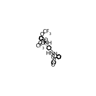 O=S(=O)(NC[C@H]1CC[C@H](CNc2nc(N3CCOCC3)c3ccccc3n2)CC1)c1cc(OCC(F)(F)F)ccc1OCC(F)(F)F